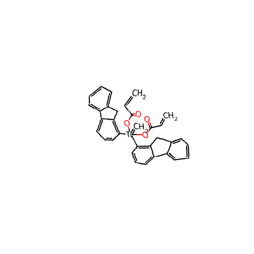 C=CC(=O)[O][Ti](=[CH2])([O]C(=O)C=C)([c]1cccc2c1Cc1ccccc1-2)[c]1cccc2c1Cc1ccccc1-2